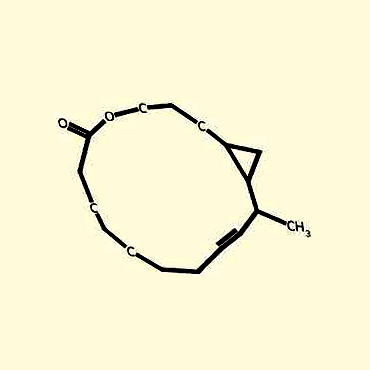 CC1/C=C/CCCCCCC(=O)OCCCC2CC12